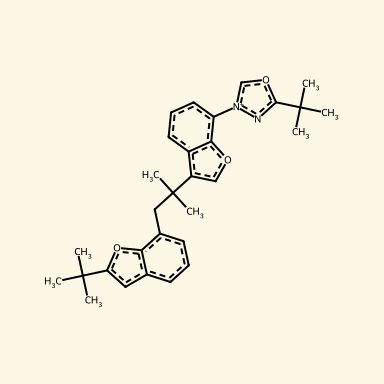 CC(C)(C)c1cc2cccc(CC(C)(C)c3coc4c(-[n+]5coc(C(C)(C)C)n5)cccc34)c2o1